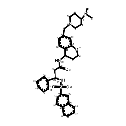 CN(C)C1CCN(Cc2ccc3c(c2)OCCC3NC(=O)C[C@@H](NS(=O)(=O)c2ccc3ccccc3c2)c2ccccc2)CC1